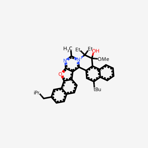 CCC1(CC)[n+]2c(C)nc3oc4c5cc(CC(C)C)ccc5ccc4c3c2-c2cc(C(C)(C)C)c3ccccc3c2C1(O)OC